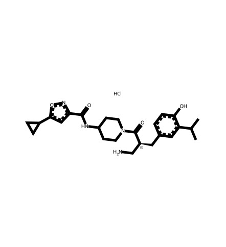 CC(C)c1cc(C[C@@H](CN)C(=O)N2CCC(NC(=O)c3cc(C4CC4)on3)CC2)ccc1O.Cl